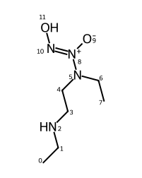 CCNCCN(CC)/[N+]([O-])=N/O